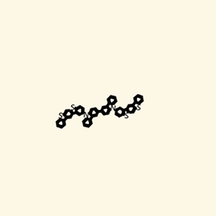 C1=CC(n2c3ccccc3c3cc(-c4ccc5c(c4)c4ccccc4n5-c4ccc5sc6cc7sc8ccccc8c7cc6c5c4)ccc32)Cc2c1sc1cc3sc4ccccc4c3cc21